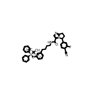 CC(C)(C)[Si](Oc1cccc(CCCCNC(=O)c2cnc3n2C(c2ccc(C#N)c(F)c2)CC3)c1)(c1ccccc1)c1ccccc1